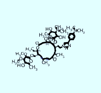 CC[C@H]1OC(=O)C[C@@H](O)[C@H](C)[C@@H](O[C@@H]2O[C@H](C)[C@@H](O)C(N(C)C)C2O)[C@@H](CCn2cc(-c3ccc(N(C)C)cc3)nn2)C[C@@H](C)C(=O)/C=C/C(C)=C/[C@@H]1COC1=C(OC)[C@@H](OC)[C@H](O)C(C)O1